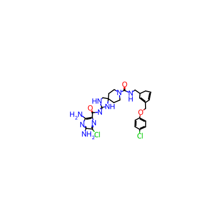 Nc1nc(N)c(C(=O)/N=C2\NCC3(CCN(C(=O)NCC4C=C(COc5ccc(Cl)cc5)C=CC4)CC3)N2)nc1Cl